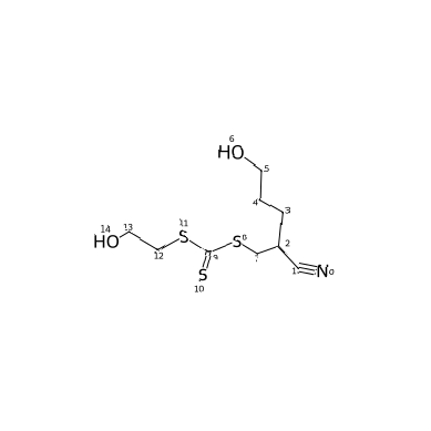 N#CC(CCCO)CSC(=S)SCCO